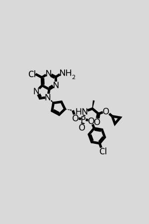 C[C@H](NP(=O)(OC[C@@H]1C=C[C@H](n2cnc3c(Cl)nc(N)nc32)C1)Oc1ccc(Cl)cc1)C(=O)OC1CC1